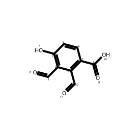 O=Cc1c(O)ccc(C(=O)O)c1C=O